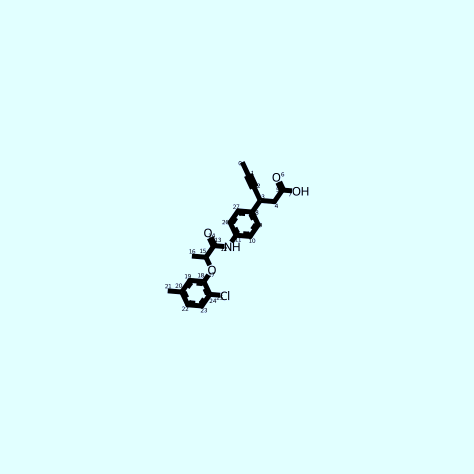 CC#CC(CC(=O)O)c1ccc(NC(=O)C(C)Oc2cc(C)ccc2Cl)cc1